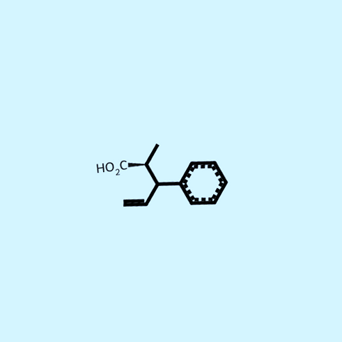 C=CC(c1ccccc1)[C@H](C)C(=O)O